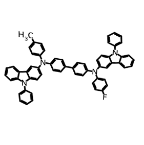 Cc1ccc(N(c2ccc(-c3ccc(N(c4ccc(F)cc4)c4ccc5c(c4)c4ccccc4n5-c4ccccc4)cc3)cc2)c2ccc3c(c2)c2ccccc2n3-c2ccccc2)cc1